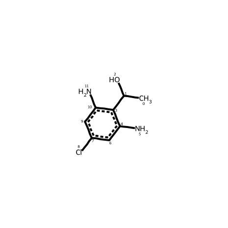 CC(O)c1c(N)cc(Cl)cc1N